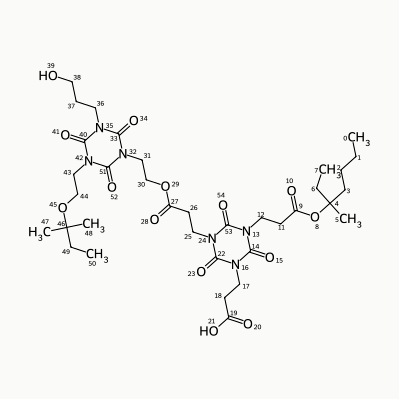 CCCCC(C)(CC)OC(=O)CCn1c(=O)n(CCC(=O)O)c(=O)n(CCC(=O)OCCn2c(=O)n(CCCO)c(=O)n(CCOC(C)(C)CC)c2=O)c1=O